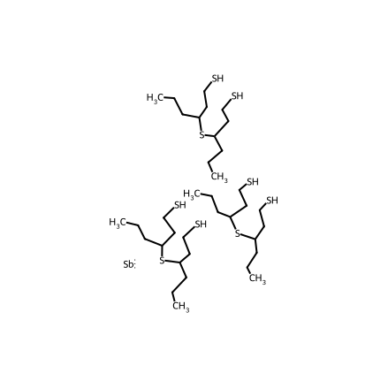 CCCC(CCS)SC(CCC)CCS.CCCC(CCS)SC(CCC)CCS.CCCC(CCS)SC(CCC)CCS.[Sb]